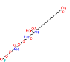 O=C(O)CCCCCCCCCCCCCCCCC(=O)N[C@@H](CCC(=O)NCCOCCOCC(=O)NCCOCCOCC(=O)F)C(=O)O